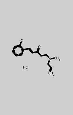 C=CCN(C)CCC(=O)C=Cc1ccccc1Cl.Cl